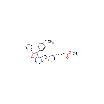 CCc1ccc(-c2c(-c3ccccc3)oc3ncnc(C[C@@H]4CCCN(CCCC(=O)OC)C4)c23)cc1